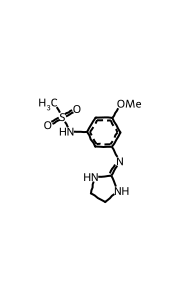 COc1cc(N=C2NCCN2)cc(NS(C)(=O)=O)c1